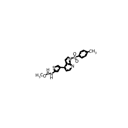 COBNc1cc(-c2ccnc3c2ccn3S(=O)(=O)c2ccc(C)cc2)cs1